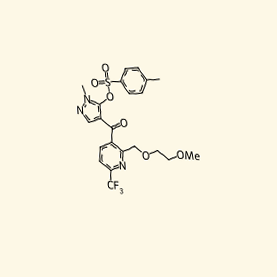 COCCOCc1nc(C(F)(F)F)ccc1C(=O)c1cnn(C)c1OS(=O)(=O)c1ccc(C)cc1